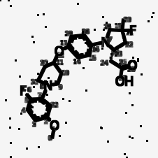 COc1ccc(F)c(N2CCC(Oc3ccc(N4CC(C)(F)C[C@@H]4CC(=O)O)cc3)CC2)c1